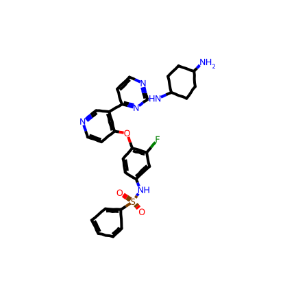 NC1CCC(Nc2nccc(-c3cnccc3Oc3ccc(NS(=O)(=O)c4ccccc4)cc3F)n2)CC1